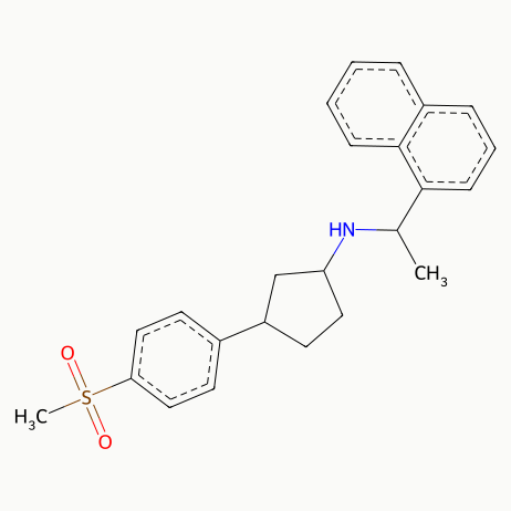 CC(NC1CCC(c2ccc(S(C)(=O)=O)cc2)C1)c1cccc2ccccc12